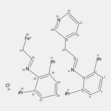 CC(C)c1cccc(C(C)C)c1N=CCc1cccnc1.CC(C)c1cccc(C(C)C)c1N=C[CH2][Fe+].[Cl-]